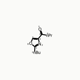 CCCCc1nc(C(=O)CCC)co1